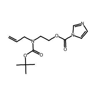 C=CCN(CCOC(=O)n1ccnc1)C(=O)OC(C)(C)C